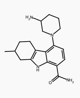 CC1CCc2c([nH]c3c(C(N)=O)ccc(N4CCCC(N)C4)c23)C1